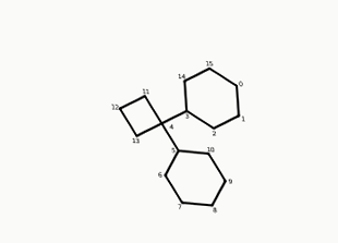 C1CCC(C2(C3CCCCC3)CCC2)CC1